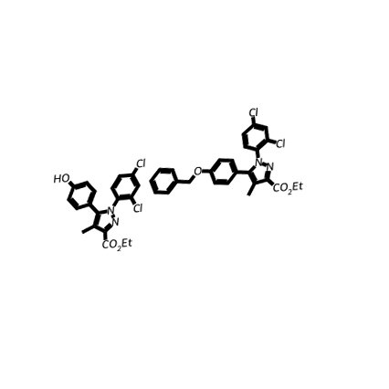 CCOC(=O)c1nn(-c2ccc(Cl)cc2Cl)c(-c2ccc(O)cc2)c1C.CCOC(=O)c1nn(-c2ccc(Cl)cc2Cl)c(-c2ccc(OCc3ccccc3)cc2)c1C